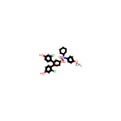 COc1ccc(N(C2CCCCC2)S(=O)(=O)C2CC3OC2C(c2ccc(O)cc2Cl)=C3c2ccc(O)cc2Cl)cc1